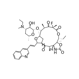 CC[C@H]1OC(=O)[C@@](C)(F)C(=O)[C@H](C)[C@@H](O[C@@H]2O[C@H](C)C[C@H](N(C)CC)[C@H]2O)[C@@]2(C)C[C@H](C(=O)[C@H](C)[C@H]3NC(=O)O[C@@]31C)C(/C=C/c1cnc3ccccc3c1)O2